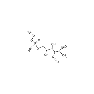 COOP(=O)(C#N)OCC(O)C(O)C(N=O)C(C)N=O